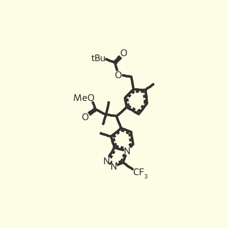 COC(=O)C(C)(C)C(c1ccc(C)c(COC(=O)C(C)(C)C)c1)c1ccn2c(C(F)(F)F)nnc2c1C